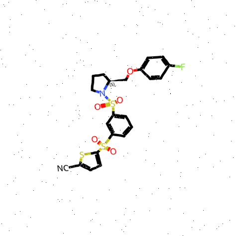 N#Cc1ccc(S(=O)(=O)c2cccc(S(=O)(=O)N3CCC[C@H]3COc3ccc(F)cc3)c2)s1